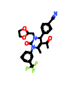 CC(=O)C1=C(C)N(c2cccc(C(F)(F)F)c2)C(=O)N(CC2OCCO2)C1c1ccc(C#N)cc1